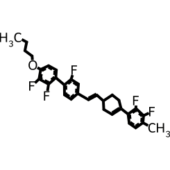 CCCCOc1ccc(-c2ccc(/C=C/C3CC=C(c4ccc(C)c(F)c4F)CC3)cc2F)c(F)c1F